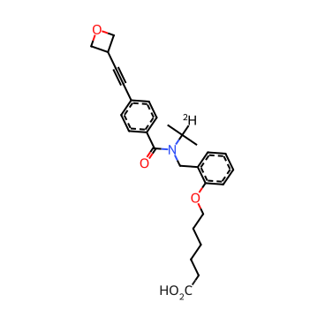 [2H]C(C)(C)N(Cc1ccccc1OCCCCCC(=O)O)C(=O)c1ccc(C#CC2COC2)cc1